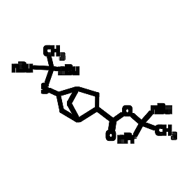 CCCCC(C)(CCC)OC(=O)C1CC2CC1CC2SC(C)(CCCC)CCCC